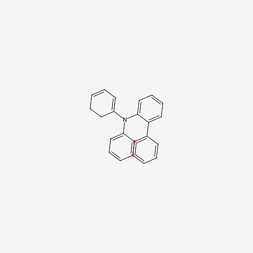 C1=C=C(c2ccccc2N(C2=CC=CCC2)c2ccccc2)C=CC=1